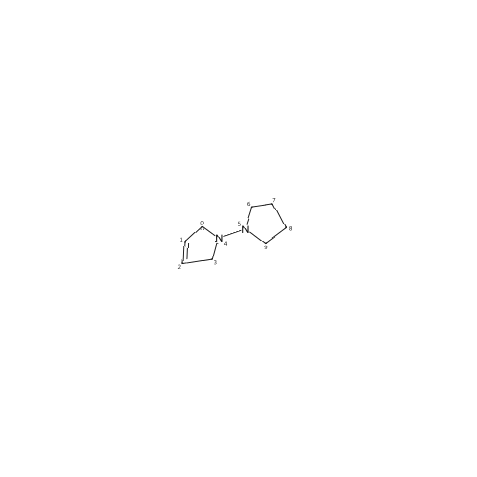 [C]1C=CCN1N1CCCC1